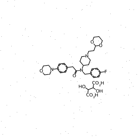 O=C(Cc1ccc(N2CCOCC2)cc1)N(Cc1ccc(F)cc1)C1CCN(CCC2OCCCO2)CC1.O=C(O)C(O)C(O)C(=O)O